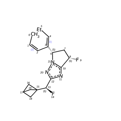 C/C=C\C(=C/CC)[C@@H]1C[C@H](F)c2nc([C@@H](F)C34CC(C3)C4)nn21